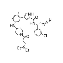 CCN(CC)CCC(=O)N1CCC(Nc2cc(-c3c[nH]c(C(=O)N[C@H](CN=[N+]=[N-])c4cccc(Cl)c4)c3)c(C)cn2)CC1